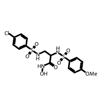 COc1ccc(S(=O)(=O)NC(CNS(=O)(=O)c2ccc(Cl)cc2)C(=O)NO)cc1